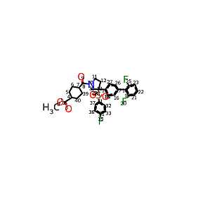 COC(=O)C1CCC(C(=O)N2CCC(c3ccc(-c4c(F)cccc4F)cc3)(S(=O)(=O)c3ccc(F)cc3)C2)CC1